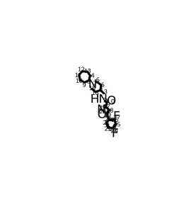 O=C(NCC1CCN(C2CCCCCC2)CC1)c1cc(-c2ccc(F)cc2F)on1